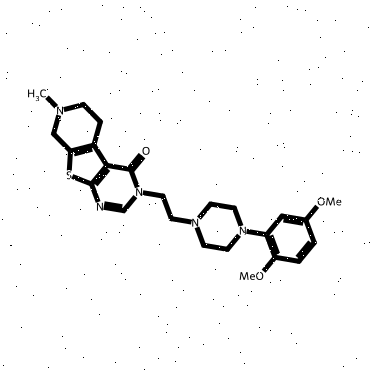 COc1ccc(OC)c(N2CCN(CCn3cnc4sc5c(c4c3=O)CCN(C)C5)CC2)c1